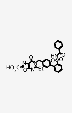 CCc1nc2oc(C(=O)O)nc2c(=O)n1Cc1ccc(-c2ccccc2S(=O)(=O)NC(=O)c2ccccc2)cc1